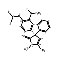 CC(C)c1cc([C@]2(c3ccccc3)N=C(N)N(C)C2=O)ccc1OC(F)F